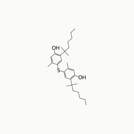 CCCCCC(C)(C)c1cc(Sc2cc(C(C)(C)CCCCC)c(O)cc2C)c(C)cc1O